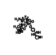 C[C@H]1[C@H](NC(=O)/C(=N\O[C@@H](COc2ccc(C(=N)N[C@@H]3CCCNC3)cc2)C(=O)O)c2nc(N)sc2C(F)(F)F)C(=O)N1S(=O)(=O)O